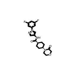 O=C1COCCN1[C@H]1CC[C@H](C(=O)Nc2cnn(-c3cc(F)cc(F)c3)c2)CC1